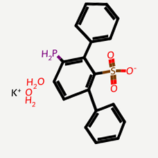 O.O.O=S(=O)([O-])c1c(-c2ccccc2)ccc(P)c1-c1ccccc1.[K+]